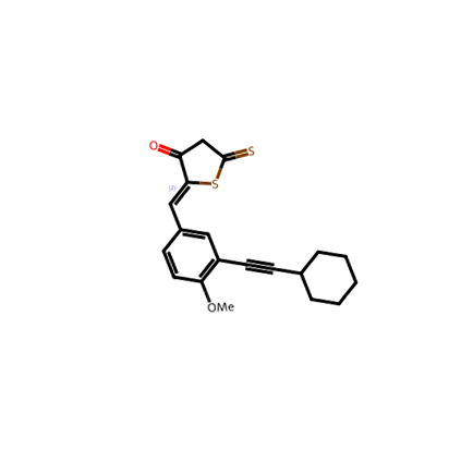 COc1ccc(/C=C2\SC(=S)CC2=O)cc1C#CC1CCCCC1